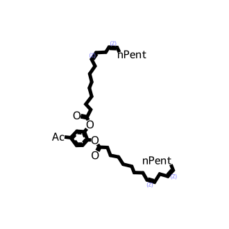 CCCCC/C=C\C/C=C\CCCCCCCC(=O)Oc1ccc(C(C)=O)cc1OC(=O)CCCCCCC/C=C\C/C=C\CCCCC